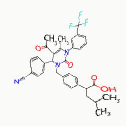 CC(=O)C1=C(C)N(c2cccc(C(F)(F)F)c2)C(=O)N(Cc2ccc(C(CC(C)C)C(=O)O)cc2)C1c1ccc(C#N)cc1